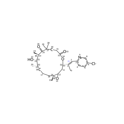 C/C(=C\c1ccc(Cl)cn1)[C@@H]1CC2O[C@]2(C)CCC[C@H](C)[C@H](O)[C@@H](C)C(=O)C(C)(C)CCC(=O)O1